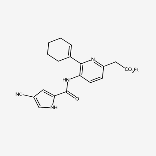 CCOC(=O)Cc1ccc(NC(=O)c2cc(C#N)c[nH]2)c(C2=CCCCC2)n1